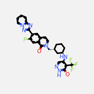 O=c1[nH]ncc(N[C@H]2CCC[C@@H](Cn3ccc4cc(-c5nc6ccccn6n5)c(F)cc4c3=O)C2)c1C(F)(F)F